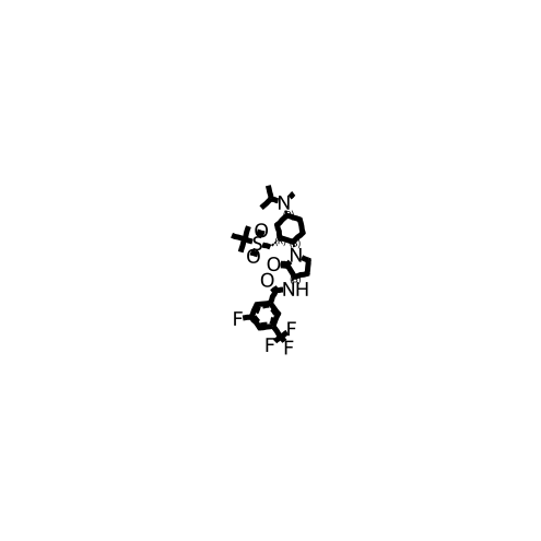 CC(C)N(C)[C@@H]1CC[C@H](N2CC[C@H](NC(=O)c3cc(F)cc(C(F)(F)F)c3)C2=O)[C@H](CS(=O)(=O)C(C)(C)C)C1